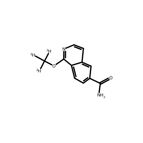 [2H]C([2H])([2H])Oc1nccc2cc(C(N)=O)ccc12